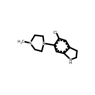 CN1CCN(c2cc3c(cc2Cl)CCN3)CC1